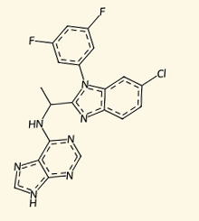 CC(Nc1ncnc2[nH]cnc12)c1nc2ccc(Cl)cc2n1-c1cc(F)cc(F)c1